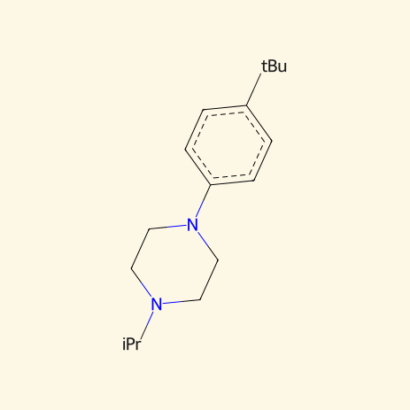 CC(C)N1CCN(c2ccc(C(C)(C)C)cc2)CC1